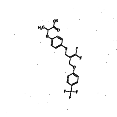 CC(Oc1ccc(SCC(COc2ccc(C(F)(F)F)cc2)=C(F)F)cc1)C(=O)O